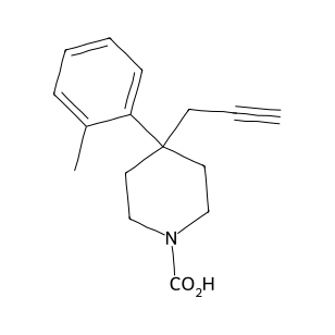 C#CCC1(c2ccccc2C)CCN(C(=O)O)CC1